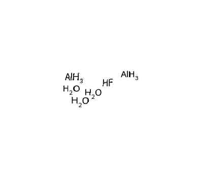 F.O.O.O.[AlH3].[AlH3]